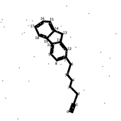 [C]#CCCCCCc1ccc2c(c1)Cc1ccccc1-2